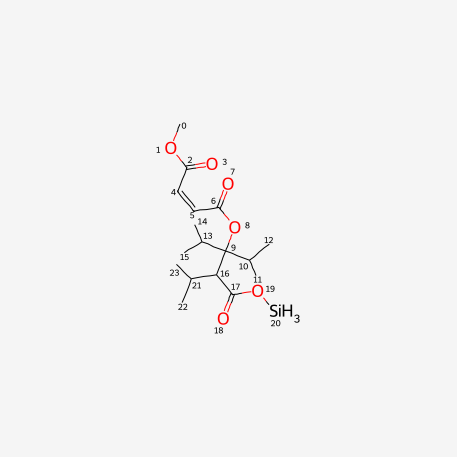 COC(=O)/C=C\C(=O)OC(C(C)C)(C(C)C)C(C(=O)O[SiH3])C(C)C